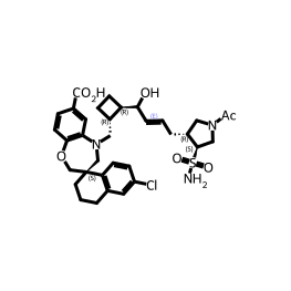 CC(=O)N1C[C@@H](C/C=C/C(O)[C@@H]2CC[C@H]2CN2C[C@@]3(CCCc4cc(Cl)ccc43)COc3ccc(C(=O)O)cc32)[C@H](S(N)(=O)=O)C1